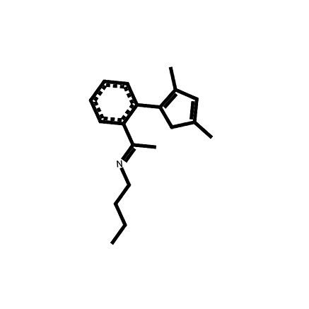 CCCC/N=C(\C)c1ccccc1C1=C(C)C=C(C)C1